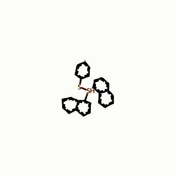 [c]1ccc(S[SH](c2cccc3ccccc23)c2cccc3ccccc23)cc1